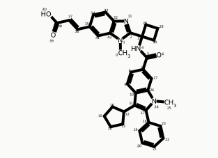 Cn1c(C2(NC(=O)c3ccc4c(C5CCCC5)c(-c5ccccc5)n(C)c4c3)CCC2)nc2ccc(/C=C/C(=O)O)cc21